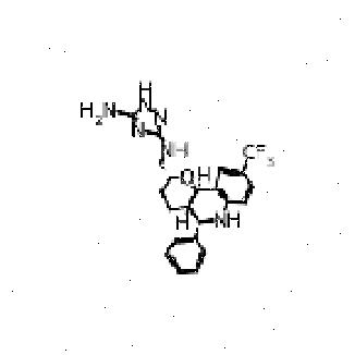 Nc1nc(NC[C@H]2CC[C@@H]3[C@H](O2)c2cc(C(F)(F)F)ccc2N[C@H]3c2ccccc2)n[nH]1